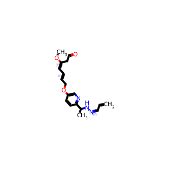 C=C/C=N\NC(C)c1ccc(OC/C=C/C=C(\CC=O)OC)cn1